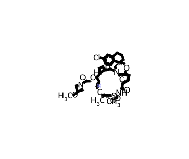 COC1CN(C(=O)CO[C@H]2/C=C/C[C@H](C)[C@@H](C)S(=O)(=O)NC(=O)c3ccc4c(c3)N(C[C@@H]3CC[C@H]32)C[C@@]2(CCCc3cc(Cl)ccc32)CO4)C1